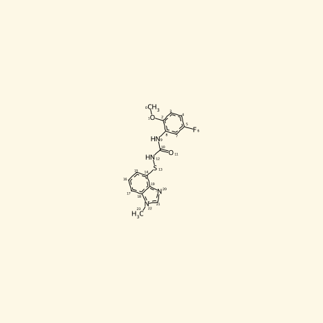 COc1ccc(F)cc1NC(=O)NSc1cccc2c1ncn2C